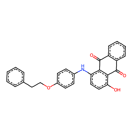 O=C1c2ccccc2C(=O)c2c(Nc3ccc(OCCc4ccccc4)cc3)ccc(O)c21